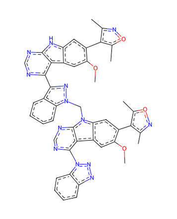 COc1cc2c(cc1-c1c(C)noc1C)[nH]c1ncnc(-c3nn(Cn4c5cc(-c6c(C)noc6C)c(OC)cc5c5c(-n6nnc7ccccc76)ncnc54)c4ccccc34)c12